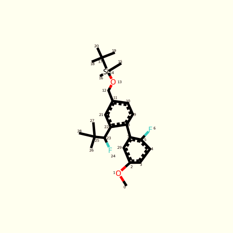 COc1ccc(F)c(-c2ccc(CO[Si](C)(C)C(C)(C)C)cc2C(F)C(C)(C)C)c1